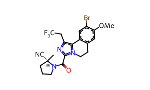 COc1cc2c(cc1Br)-c1c(CC(F)(F)F)nc(C(=O)N3CCC[C@]3(C)C#N)n1CC2